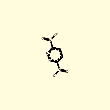 O=[N+]([O-])c1ccc([N+](=O)[O-])nn1